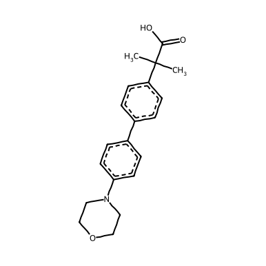 CC(C)(C(=O)O)c1ccc(-c2ccc(N3CCOCC3)cc2)cc1